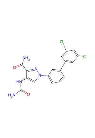 NC(=O)Nc1cn(-c2cccc(-c3cc(Cl)cc(Cl)c3)c2)nc1C(N)=O